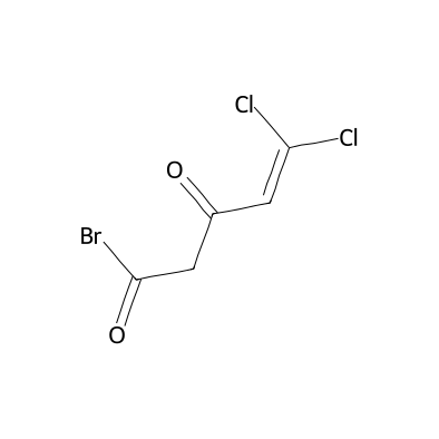 O=C(Br)CC(=O)C=C(Cl)Cl